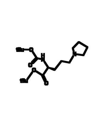 CC(C)(C)OC(=O)N[C@@H](CCCN1CCCC1)C(=O)OC(C)(C)C